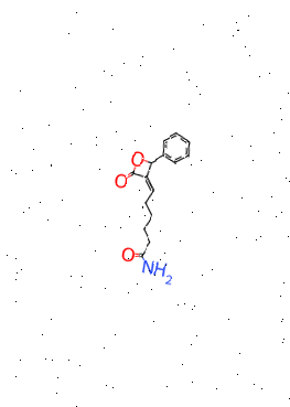 NC(=O)CCCCC=C1C(=O)OC1c1ccccc1